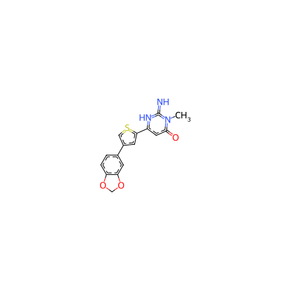 Cn1c(=O)cc(-c2cc(-c3ccc4c(c3)OCO4)cs2)[nH]c1=N